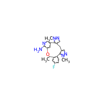 CC1Oc2cc(cnc2N)-c2c(cnn2C)Cc2cnn(C)c2-c2ccc(F)cc21